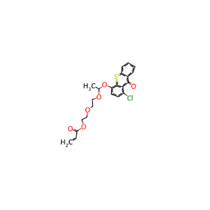 C=CC(=O)OCCOCCOC(C)Oc1ccc(Cl)c2c(=O)c3ccccc3sc12